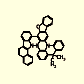 CC1(C)c2ccccc2N2c3cc4c(oc5ccccc54)c4c3B(c3cccc1c32)n1c2c-4cccc2c2ccc3ccccc3c21